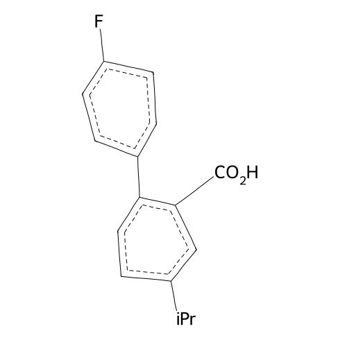 CC(C)c1ccc(-c2ccc(F)cc2)c(C(=O)O)c1